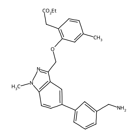 CCOC(=O)Cc1ccc(C)cc1OCc1nn(C)c2ccc(-c3cccc(CN)c3)cc12